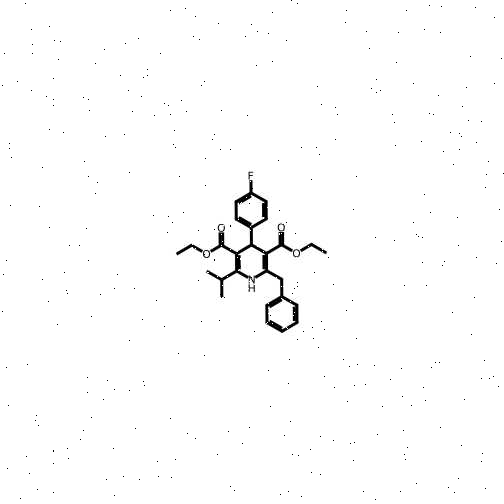 CCOC(=O)C1=C(Cc2ccccc2)NC(C(C)C)=C(C(=O)OCC)C1c1ccc(F)cc1